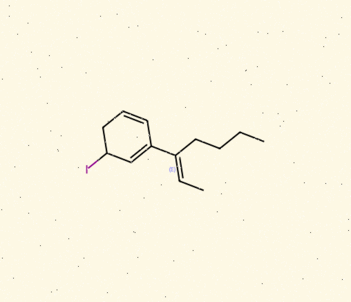 C/C=C(\CCCC)C1=CC(I)CC=C1